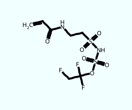 C=CC(=O)NCCS(=O)(=O)NS(=O)(=O)OC(F)(F)CF